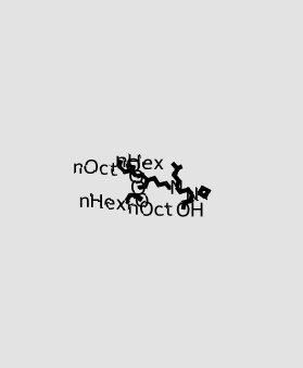 CCCCCCCCC(CCCCCC)CC(=O)OCC(CCCCN(CC=C(C)C)CCN(CCO)C1CCC1)COC(=O)CC(CCCCCC)CCCCCCCC